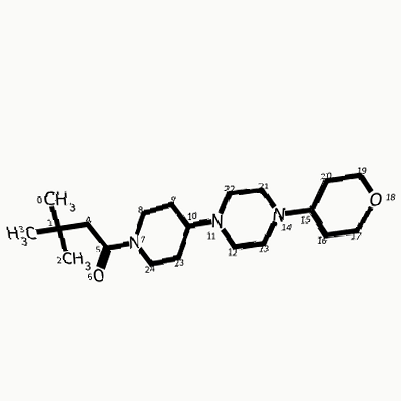 CC(C)(C)CC(=O)N1CCC(N2CCN(C3CCOCC3)CC2)CC1